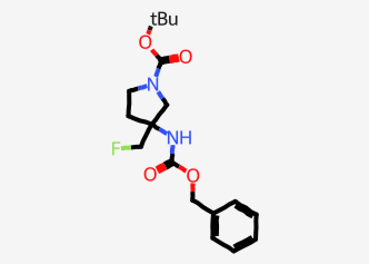 CC(C)(C)OC(=O)N1CCC(CF)(NC(=O)OCc2ccccc2)C1